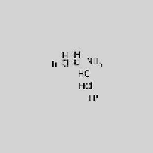 Cl.Cl.Cl.Cl.N.[H+].[Ti]